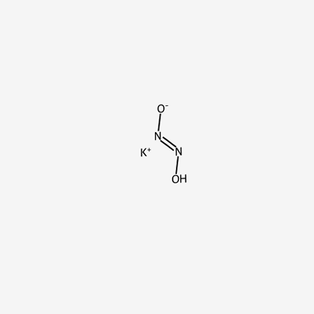 [K+].[O-]N=NO